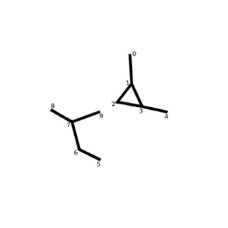 CC1CC1C.CCC(C)C